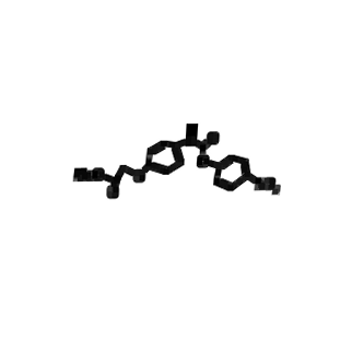 COC(=O)COc1ccc(NC(=O)Oc2ccc([N+](=O)[O-])cc2)cc1